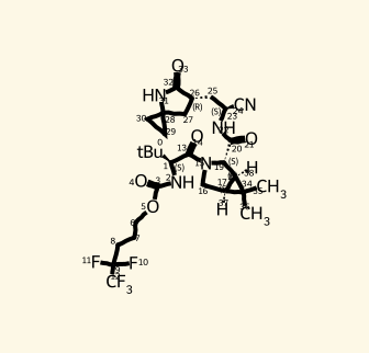 CC(C)(C)[C@H](NC(=O)OCCCC(F)(F)C(F)(F)F)C(=O)N1C[C@H]2[C@@H]([C@H]1C(=O)N[C@H](C#N)C[C@@H]1CC3(CC3)NC1=O)C2(C)C